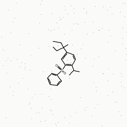 CCC(C)(CC)c1ccc(C(C)C)c(S(=O)(=O)c2ccccc2)c1